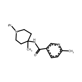 Cc1ccc(C(=O)NC2(C)CCN(C(C)C)CC2)cn1